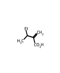 C=C(C(=O)O)C(C)CC